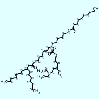 CCCCCCCCCC(=O)OCCCCCCC(CCCCCCOC(=O)CC(CCCCCCC)CCCCCCC)OC(=O)OCCN(CC)CCN(CC)CC